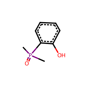 CP(C)(=O)c1ccccc1O